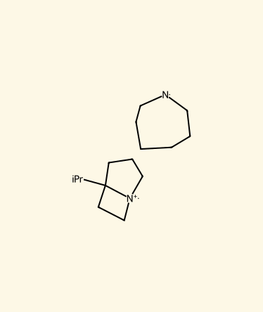 C1CCC[N]CC1.CC(C)C12CCC[N+]1CC2